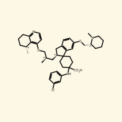 C[C@@H](COc1ccnc2c1[C@H](C)CCC2)C[C@H]1Cc2ccc(OC[C@H]3CCCCN3C)cc2C12CCC(Nc1cccc(Cl)c1)(C(=O)O)CC2